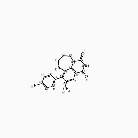 O=c1[nH]c(=O)n2c3c(c(-c4ccc(F)cn4)c(C(F)(F)F)cc13)SCCC2